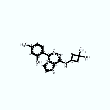 Cc1ccc(-c2nnc(NC3CC(C)(O)C3)c3nccn23)c(O)c1